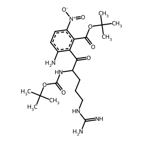 CC(C)(C)OC(=O)NC(CCCNC(=N)N)C(=O)c1c(N)ccc([N+](=O)[O-])c1C(=O)OC(C)(C)C